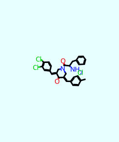 Cc1ccc(/C=C2\CN(C(=O)C(N)Cc3ccccc3)C/C(=C\c3ccc(Cl)c(Cl)c3)C2=O)cc1Cl